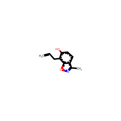 C=CCc1c(O)ccc2c(C)noc12